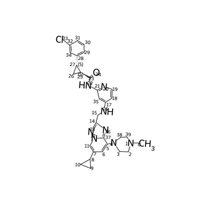 CN1CCN(c2cc(C3CC3)cn3nc(CNc4ccnc(NC(=O)[C@H]5C[C@@H]5c5cccc(Cl)c5)c4)nc23)CC1